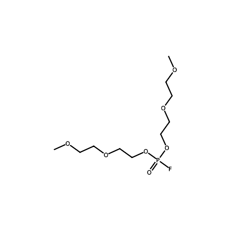 COCCOCCOP(=O)(F)OCCOCCOC